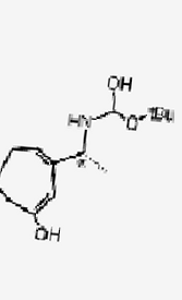 C[C@@H](NC(O)OC(C)(C)C)C1=CCCCC(O)=C1